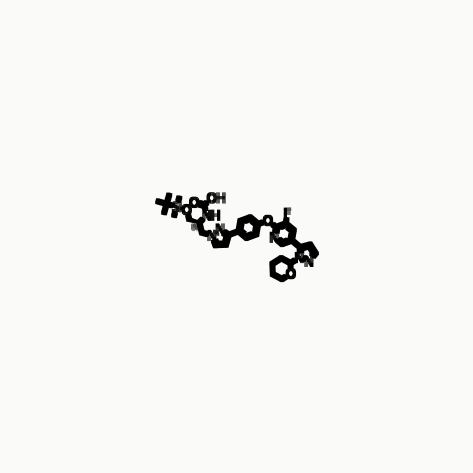 CC(C)(C)[Si](C)(C)OC[C@H](Cn1ccc(-c2ccc(Oc3ncc(-c4ccnn4C4CCCCO4)cc3F)cc2)n1)NC(=O)O